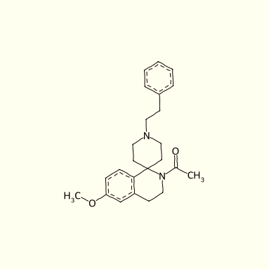 COc1ccc2c(c1)CCN(C(C)=O)C21CCN(CCc2ccccc2)CC1